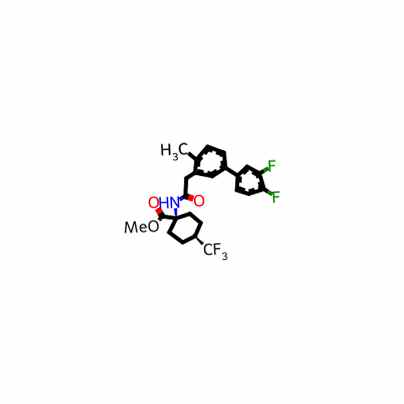 COC(=O)[C@]1(NC(=O)Cc2cc(-c3ccc(F)c(F)c3)ccc2C)CC[C@@H](C(F)(F)F)CC1